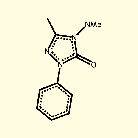 CNn1c(C)nn(-c2ccccc2)c1=O